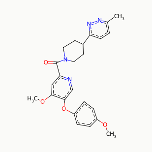 COc1ccc(Oc2cnc(C(=O)N3CCC(c4ccc(C)nn4)CC3)cc2OC)cc1